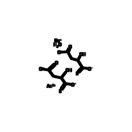 O.O=C([O-])CC(O)C([O-])=S.O=C([O-])CC(O)C([O-])=S.[Au+3].[Na+]